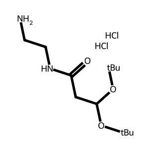 CC(C)(C)OC(CC(=O)NCCN)OC(C)(C)C.Cl.Cl